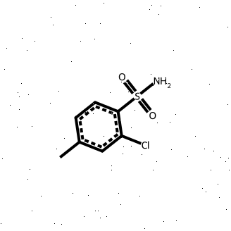 Cc1ccc(S(N)(=O)=O)c(Cl)c1